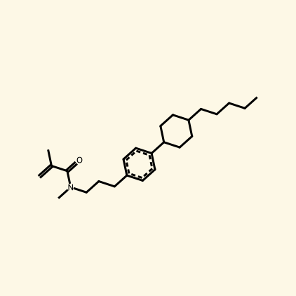 C=C(C)C(=O)N(C)CCCc1ccc(C2CCC(CCCCC)CC2)cc1